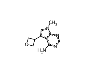 Cn1cc(C2COC2)c2c(N)ncnc21